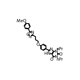 CCCn1c(=O)c2[nH]c(-c3ccc(OCCCc4noc(-c5ccc(OC)cc5)n4)cc3)nc2n(CCC)c1=O